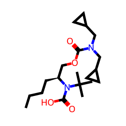 CCCC[C@@H](COC(=O)N(CC1CC1)CC1CC1)N(C(=O)O)C(C)(C)C